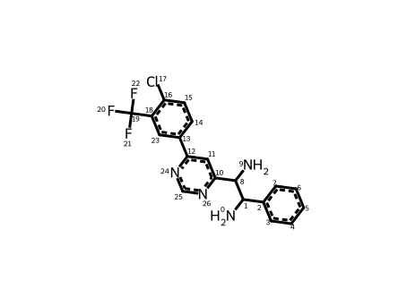 NC(c1ccccc1)C(N)c1cc(-c2ccc(Cl)c(C(F)(F)F)c2)ncn1